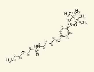 CC1(C)OB(c2ccc(OCCCCNC(=O)CCOCCN)cc2)OC1(C)C